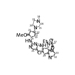 CCN(c1c(Nc2nc(Nc3cc(C)c(N4CCN(C)CC4)cc3OC)ncc2Cl)ccc2nccnc12)S(C)(=O)=O